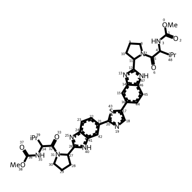 COC(=O)NC(C(=O)N1CCCC1c1nc2cc(-c3cnc(-c4ccc5nc(C6CCCN6C(=O)C(NC(=O)OC)C(C)C)[nH]c5c4)s3)ccc2[nH]1)C(C)C